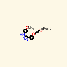 CCCCCOCCCCOc1cccc(-c2cc(Nc3ccc(OC(F)(F)F)cc3)ncn2)c1